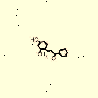 Cc1cc(O)ccc1C=CC(=O)c1ccccc1